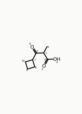 CC(C(=O)O)C(=O)C1CCC1